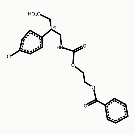 O=C(O)C[C@@H](CNC(=O)OCCOC(=O)c1ccccc1)c1ccc(Cl)cc1